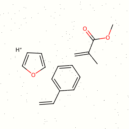 C=C(C)C(=O)OC.C=Cc1ccccc1.[H+].c1ccoc1